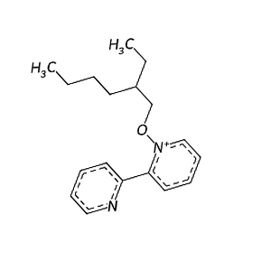 CCCCC(CC)CO[n+]1ccccc1-c1ccccn1